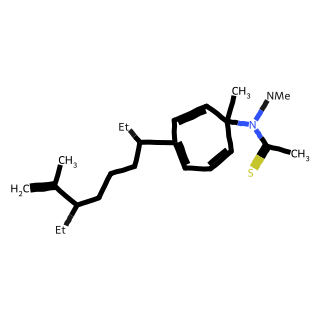 C=C(C)C(CC)CCCC(CC)C1=CC=CC(C)(N(NC)C(C)=S)C=C1